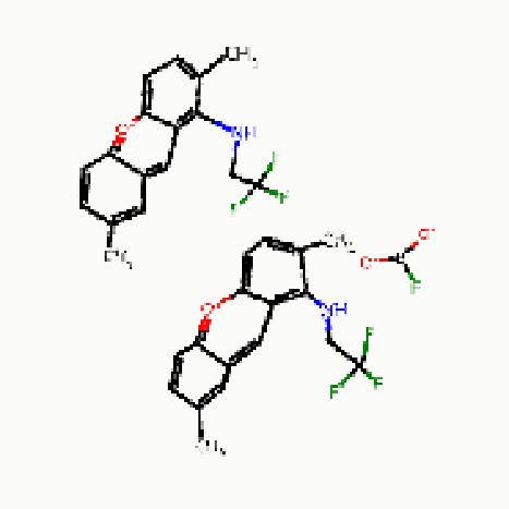 Cc1ccc2[o+]c3ccc(C)c(NCC(F)(F)F)c3cc2c1.Cc1ccc2[o+]c3ccc(C)c(NCC(F)(F)F)c3cc2c1.[O-]B([O-])F